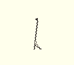 CCCCOC(CCC)COCCCCCCCCCCCCCCC1CC1